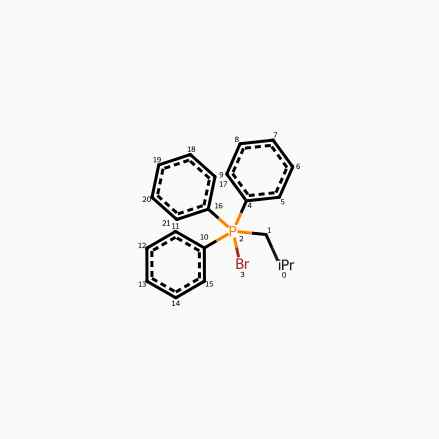 CC(C)CP(Br)(c1ccccc1)(c1ccccc1)c1ccccc1